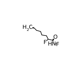 C=CCCCCC(F)C(=O)NF